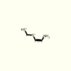 N/C=C\SCS